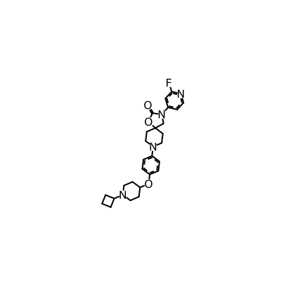 O=C1OC2(CCN(c3ccc(OC4CCN(C5CCC5)CC4)cc3)CC2)CN1c1ccnc(F)c1